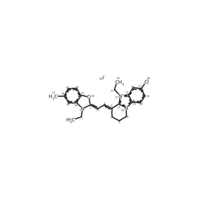 CCN1C(=CC=C2CCCn3c2[n+](CC)c2cc(Cl)ccc23)Oc2ccc(C)cc21.[I-]